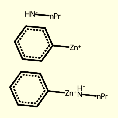 CCC[NH-].CCC[NH-].[Zn+][c]1ccccc1.[Zn+][c]1ccccc1